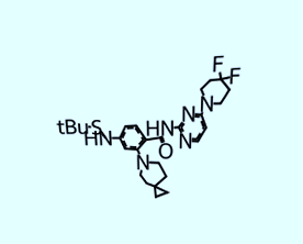 CC(C)(C)SNc1ccc(C(=O)Nc2nccc(N3CCC(F)(F)CC3)n2)c(N2CCC3(CC2)CC3)c1